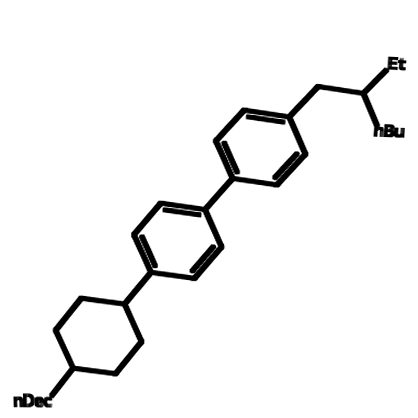 CCCCCCCCCCC1CCC(c2ccc(-c3ccc(CC(CC)CCCC)cc3)cc2)CC1